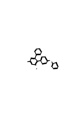 O=C(O)Oc1cc(C(F)(F)F)cc(-c2ccccc2)c1-c1ccc(Nc2ccccc2)cc1